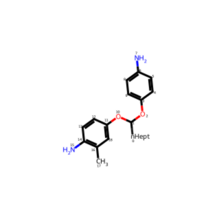 CCCCCCCC(Oc1ccc(N)cc1)Oc1ccc(N)c(C)c1